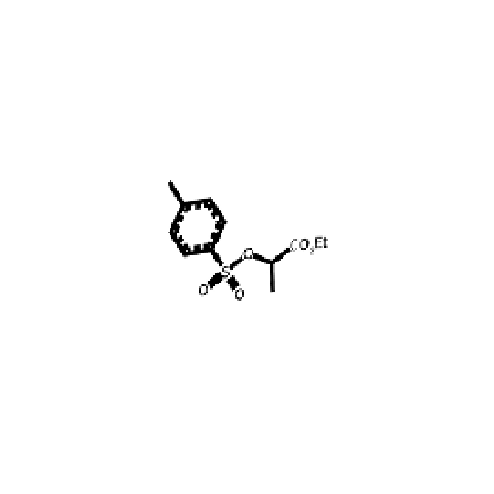 CCOC(=O)C(C)OS(=O)(=O)c1ccc(C)cc1